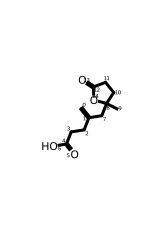 C=C(CCC(=O)O)CC1(C)CCC(=O)O1